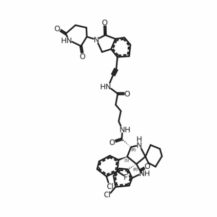 O=C(CCCNC(=O)[C@@H]1NC2(CCCCC2)[C@@]2(C(=O)Nc3cc(Cl)ccc32)[C@H]1c1cccc(Cl)c1F)NC#Cc1cccc2c1CN(C1CCC(=O)NC1=O)C2=O